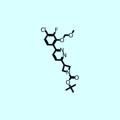 COCOc1c(-c2ccc(C3CN(C(=O)OC(C)(C)C)C3)nn2)ccc(Cl)c1F